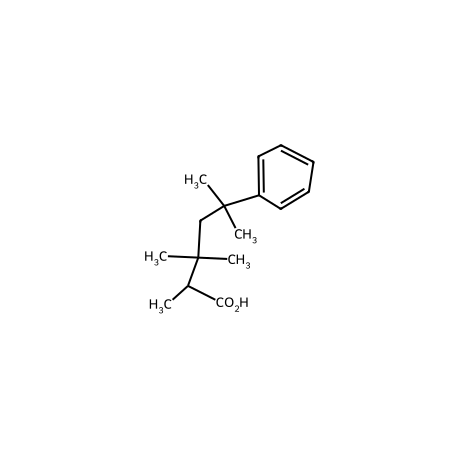 CC(C(=O)O)C(C)(C)CC(C)(C)c1ccccc1